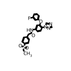 CCS(=O)(=O)c1ccc(CC(=O)Nc2ccc(-n3cncn3)c(Oc3cccc(F)c3)c2)cc1